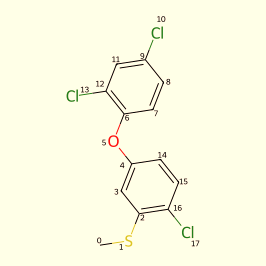 CSc1cc(Oc2ccc(Cl)cc2Cl)ccc1Cl